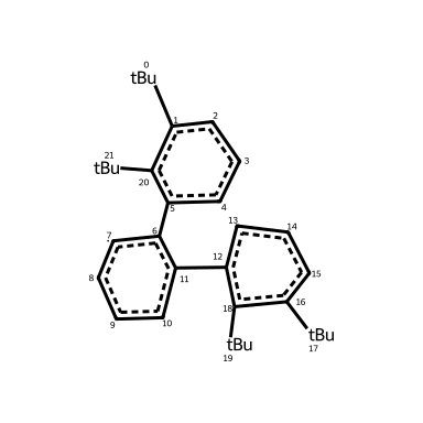 CC(C)(C)c1cccc(-c2[c]cccc2-c2cccc(C(C)(C)C)c2C(C)(C)C)c1C(C)(C)C